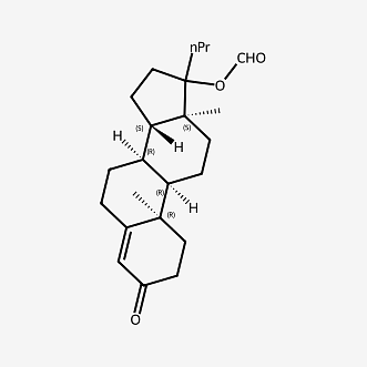 CCCC1(OC=O)CC[C@H]2[C@@H]3CCC4=CC(=O)CC[C@]4(C)[C@@H]3CC[C@@]21C